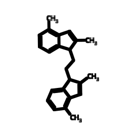 CC1=Cc2c(C)cccc2[C]1CC[C]1C(C)=Cc2c(C)cccc21